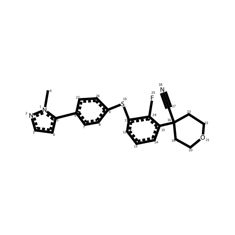 Cn1nccc1-c1ccc(Sc2cccc(C3(C#N)CCOCC3)c2F)cc1